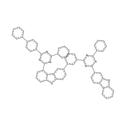 c1ccc(-c2ccc(-c3nc(-c4ccccc4)nc(-c4cccc5oc6ccc(-c7cccc(-c8nc(-c9ccccc9)nc(-c9ccc%10c(c9)oc9ccccc9%10)n8)c7)cc6c45)n3)cc2)cc1